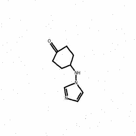 O=C1CCC(Nn2ccnc2)CC1